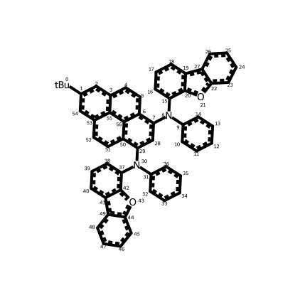 CC(C)(C)c1cc2ccc3c(N(c4ccccc4)c4cccc5c4oc4ccccc45)cc(N(c4ccccc4)c4cccc5c4oc4ccccc45)c4ccc(c1)c2c34